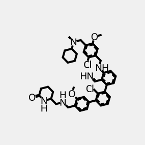 COc1cc(-c2cccc(-c3cccc(NCc4cc(OC)c(CN(C)C5CCCCC5)cc4Cl)c3C=N)c2Cl)ccc1CNCC1CCCC(=O)N1